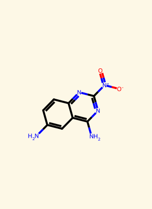 Nc1ccc2nc([N+](=O)[O-])nc(N)c2c1